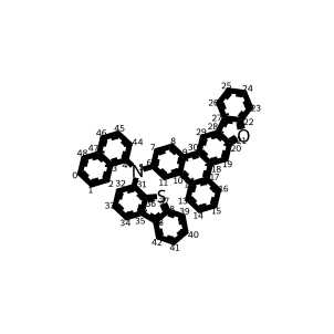 c1ccc2c(N(c3ccc4c(c3)c3ccccc3c3cc5oc6ccccc6c5cc43)c3cccc4c3sc3ccccc34)cccc2c1